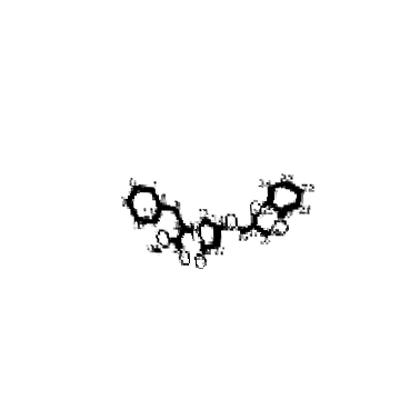 COC(=O)C(CC1CCCCC1)N1CC(OCC2COc3ccccc3O2)=CC1=O